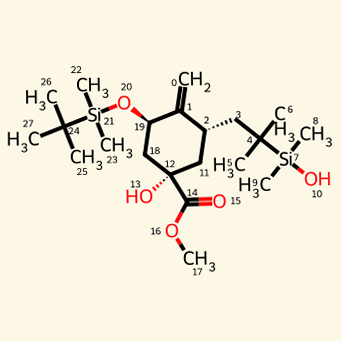 C=C1[C@H](CC(C)(C)[Si](C)(C)O)C[C@@](O)(C(=O)OC)C[C@H]1O[Si](C)(C)C(C)(C)C